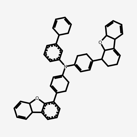 C1=CCC(c2cccc(N(C3=CC=C(c4cccc5c4OC4C=CC=CC54)CC3)C3=CC=C(C4CCC=C5C6C=CC=CC6OC54)CC3)c2)C=C1